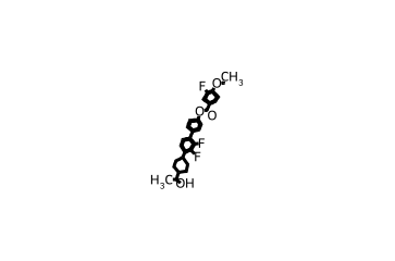 CCOc1ccc(C(=O)Oc2ccc(-c3ccc(C4CCC(C(C)O)CC4)c(F)c3F)cc2)cc1F